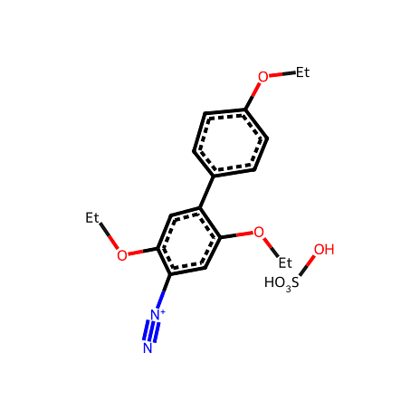 CCOc1ccc(-c2cc(OCC)c([N+]#N)cc2OCC)cc1.O=S(=O)(O)O